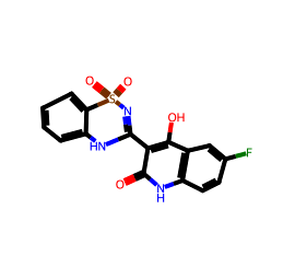 O=c1[nH]c2ccc(F)cc2c(O)c1C1=NS(=O)(=O)c2ccccc2N1